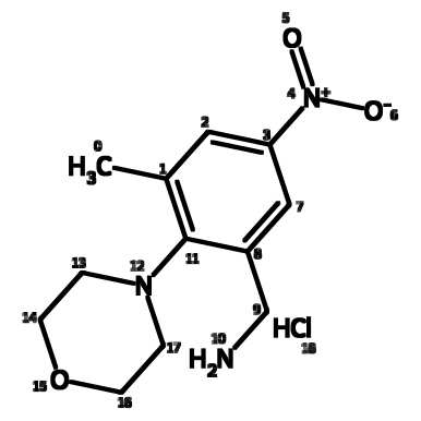 Cc1cc([N+](=O)[O-])cc(CN)c1N1CCOCC1.Cl